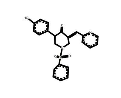 O=C1C(=Cc2ccccn2)CN(S(=O)(=O)c2ccccc2)CC1c1ccc(O)cc1